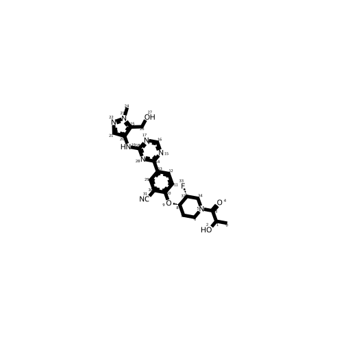 CC(O)C(=O)N1CC[C@H](Oc2ccc(-c3ncnc(Nc4cnn(C)c4CO)n3)cc2C#N)[C@H](F)C1